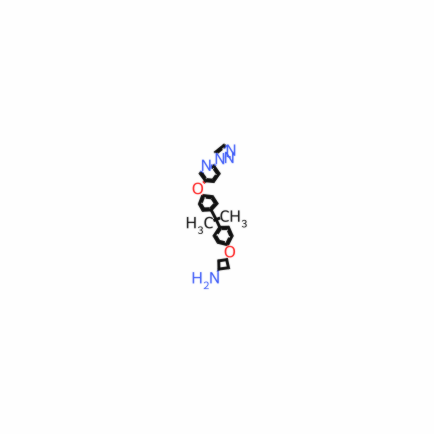 CC(C)(c1ccc(Oc2ccc(-n3ccnn3)nc2)cc1)c1ccc(O[C@H]2C[C@H](N)C2)cc1